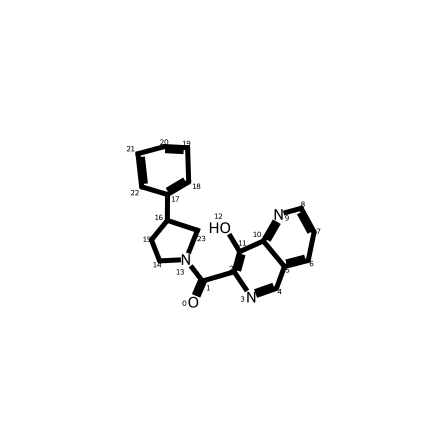 O=C(c1ncc2cccnc2c1O)N1CCC(c2ccccc2)C1